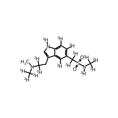 [2H]c1c(C([2H])([2H])S(=O)(=O)N([2H])C([2H])([2H])[2H])c([2H])c2c(CC([2H])([2H])N(C)C([2H])([2H])[2H])cn([2H])c2c1[2H]